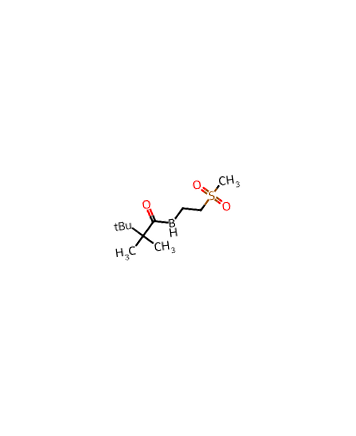 CC(C)(C)C(C)(C)C(=O)BCCS(C)(=O)=O